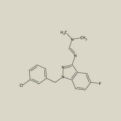 CN(C)C=Nc1nn(Cc2cccc(Cl)c2)c2ccc(F)cc12